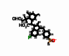 CC1=C(C(C(=O)O)c2cc(C)cc(C)c2C(C)(C)CC=O)c2cc(F)ccc2C1=Cc1ccc([S+](C)[O-])cc1